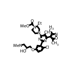 CC[C@@H]1CN(c2nc(-c3cc(OC[C@H](O)CNC)ccc3Cl)nc(-c3c(C)noc3C)c2C)CCN1C(=O)OC